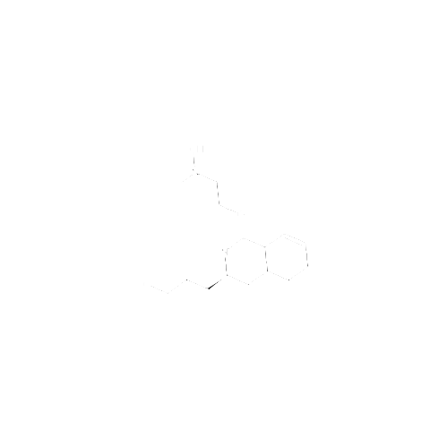 CCCC[C@@H]1CC2CCC=CC2[C@@H](OCCN(C)C)N1